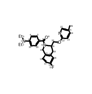 CCN(CC)c1ccc(C(=O)N2Cc3ccc(F)cc3CC2COc2ccc(C)cn2)cc1